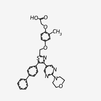 Cc1cc(OCc2nc(-c3cnc(N4CCOCC4)nc3)c(-c3ccc(-c4ccccc4)cc3)s2)ccc1OCC(=O)O